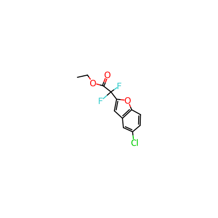 CCOC(=O)C(F)(F)c1cc2cc(Cl)ccc2o1